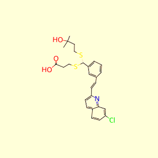 CC(C)(O)CCS[C@@H](SCCC(=O)O)c1cccc(C=Cc2ccc3ccc(Cl)cc3n2)c1